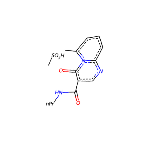 CCCNC(=O)c1cnc2cccc(C)n2c1=O.CS(=O)(=O)O